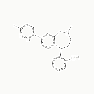 Cc1ccc(-c2ccc3c(c2)CN(C)CCC3c2ccccc2O)nn1